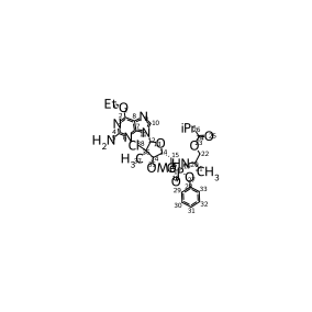 CCOc1nc(N)nc2c1ncn2[C@@H]1O[C@H](CO[P@](=O)(N[C@H](C)COC(=O)C(C)C)Oc2ccccc2)[C@@H](OC)[C@@]1(C)Cl